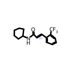 O=C(/C=C/c1ccccc1C(F)(F)F)NC1CCCCC1